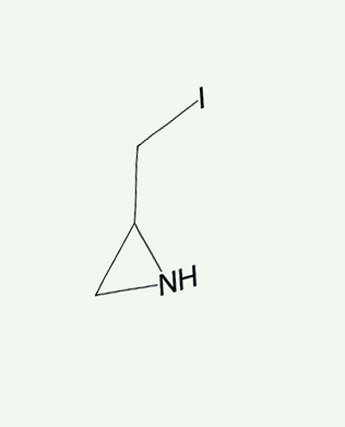 ICC1CN1